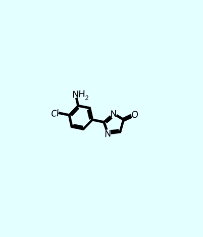 Nc1cc(C2=NC(=O)C=N2)ccc1Cl